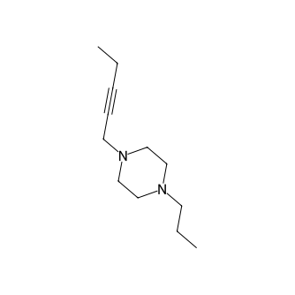 CCC#CCN1CCN(CCC)CC1